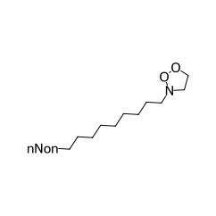 CCCCCCCCCCCCCCCCCCN1CCOO1